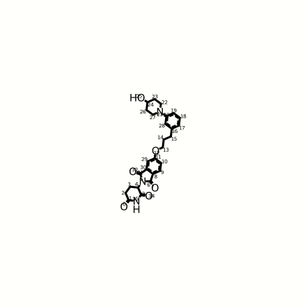 O=C1CCC(N2C(=O)c3ccc(OCCCc4cccc(N5CCC(O)CC5)c4)cc3C2=O)C(=O)N1